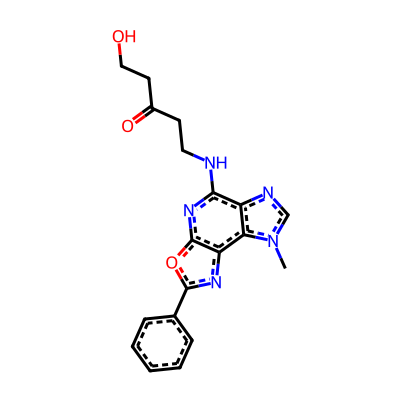 Cn1cnc2c(NCCC(=O)CCO)nc3oc(-c4ccccc4)nc3c21